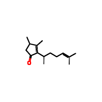 CC(C)=CCCC(C)C1=C(C)C(C)CC1=O